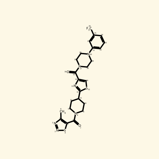 Cc1nnsc1C(=O)N1CCC(c2nc(C(=O)N3CCN(c4cccc(C(F)(F)F)c4)CC3)cs2)CC1